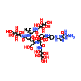 CC[C@H](CCC(=O)NC[C@H](O)[C@@H](O)[C@H](O)[C@H](O)CO)NC(=O)[C@H](CCC(=O)NC[C@H](O)[C@@H](O)[C@H](O)[C@H](O)CO)CC(=O)[C@H](CCC(=O)O)NC(=O)[C@H](CCC(=O)NC[C@H](O)[C@@H](O)[C@H](O)[C@H](O)CO)CC(=O)CC[C@H](NC(=O)c1ccc(NCc2cnc3nc(N)[nH]c(=O)c3n2)cc1)C(=O)O